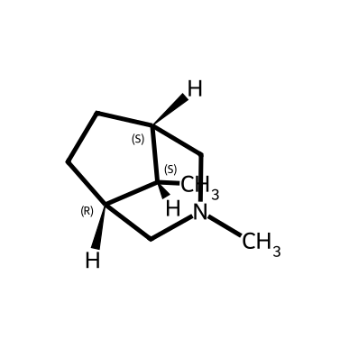 C[C@H]1[C@@H]2CC[C@H]1CN(C)C2